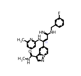 CNC(=O)c1cnn2ccc(/C(=C/C(=N)NCc3cccc(F)c3)Nc3cccc(C)n3)cc12